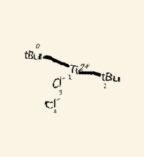 C[C](C)(C)[Ti+2][C](C)(C)C.[Cl-].[Cl-]